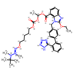 CCOc1nc2cccc(C(=O)OC(C)OC(=O)OCCCCCO/N=[N+](\C)N(C)C(C)(C)C)c2n1Cc1ccc(-c2ccccc2-c2nnn[nH]2)cc1